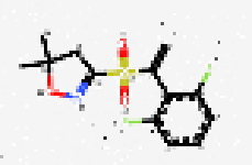 C=C(c1c(F)cccc1F)S(=O)(=O)C1=NOC(C)(C)C1